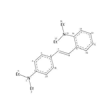 CCN(CC)c1ccc(C=Cc2ccccc2N(CC)CC)cc1